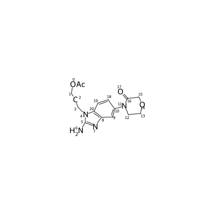 CC(=O)OCCCn1c(N)nc2cc(N3CCOCC3=O)ccc21